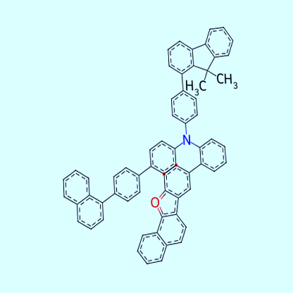 CC1(C)c2ccccc2-c2cccc(-c3ccc(N(c4ccc(-c5ccc(-c6cccc7ccccc67)cc5)cc4)c4ccccc4-c4ccc5oc6c7ccccc7ccc6c5c4)cc3)c21